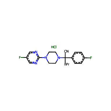 CCCC(C#N)(c1ccc(F)cc1)N1CCN(c2ncc(F)cn2)CC1.Cl